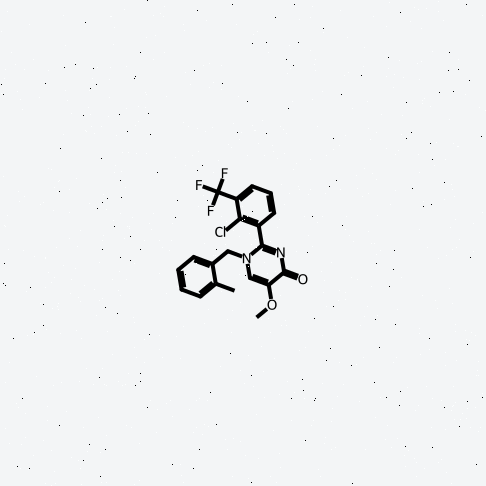 COc1cn(Cc2ccccc2C)c(-c2cccc(C(F)(F)F)c2Cl)nc1=O